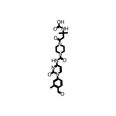 Cc1cc(-n2ccc(NC(=O)N3CCN(C(=O)CC(C)(C)NC(=O)O)CC3)nc2=O)ccc1C=O